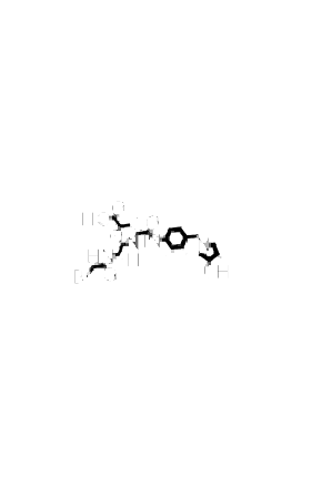 Cc1ccn(Cc2ccc(NC(=O)[C@@H](CCC(=O)O)NC(=O)CNC(=O)CBr)cc2)c1